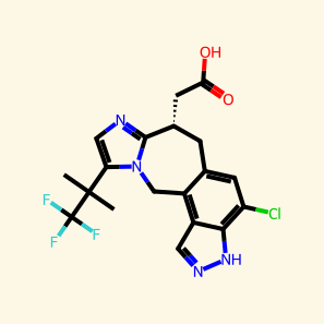 CC(C)(c1cnc2n1Cc1c(cc(Cl)c3[nH]ncc13)C[C@H]2CC(=O)O)C(F)(F)F